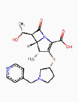 C[C@@H](O)[C@H]1C(=O)N2C(C(=O)O)=C(S[C@@H]3CCN(Cc4ccncc4)C3)[C@H](C)[C@H]12